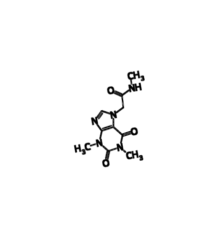 CNC(=O)Cn1cnc2c1c(=O)n(C)c(=O)n2C